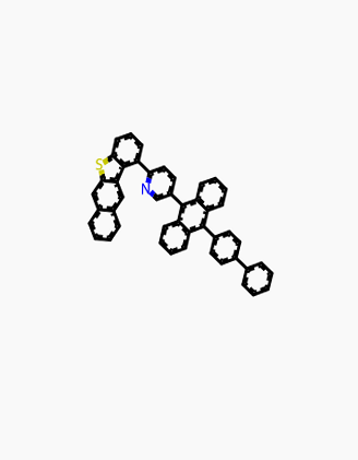 c1ccc(-c2ccc(-c3c4ccccc4c(-c4ccc(-c5cccc6sc7cc8ccccc8cc7c56)nc4)c4ccccc34)cc2)cc1